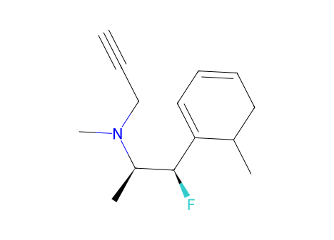 C#CCN(C)[C@H](C)[C@H](F)C1=CC=CCC1C